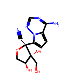 N#C[C@@]1(c2ccc3c(N)ncnn23)OC[C@H](O)[C@]1(O)CO